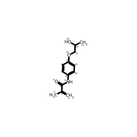 C=C(C)C(=O)Nc1ccc(OCC(C)O)cc1